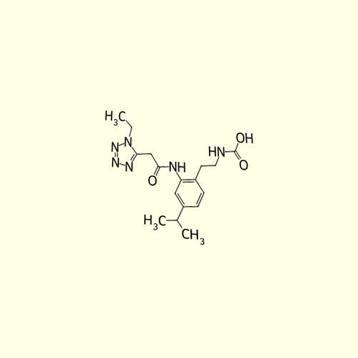 CCn1nnnc1CC(=O)Nc1cc(C(C)C)ccc1CCNC(=O)O